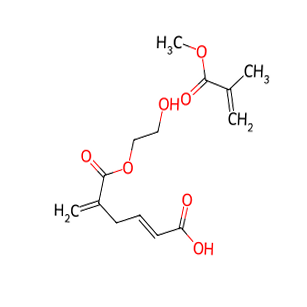 C=C(C)C(=O)OC.C=C(CC=CC(=O)O)C(=O)OCCO